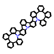 c1ccc2c(c1)c1ccccc1c1cccc3c4c5c6cccc7c8c9c%10cccc%11c%12ccccc%12c%12ccccc%12c%12ccccc%12n(c9ccc8n(c5ccc4n(c4ccccc24)c13)c67)c%11%10